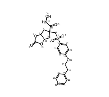 O=C1OC2CC(CS(=O)(=O)c3ccc(OCCc4ccncc4)cc3)(C(=O)NO)CC2O1